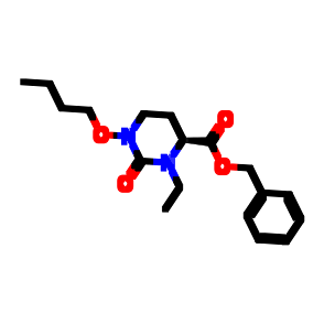 CCCCON1CC[C@@H](C(=O)OCc2ccccc2)N(CC)C1=O